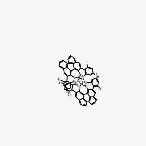 CCC1=CC(CC)C(c2cc3ccccc3c3c2OP(=O)(NP2(=O)Oc4c(-c5c(CC)cc(CC)cc5CC)cc5ccccc5c4-c4c(c(-c5c(CC)cc(CC)cc5CC)cc5ccccc45)O2)Oc2c(-c4c(CC)cc(CC)cc4CC)cc4ccccc4c2-3)C(CC)=C1